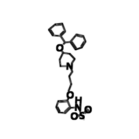 CS(=O)(=O)Nc1ccccc1OCCCCN1CCC(OC(c2ccccc2)c2ccccc2)CC1